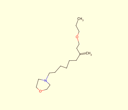 C=C(CCCCCCN1CCOCC1)CCOCCC